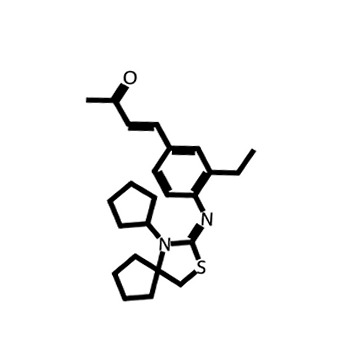 CCc1cc(/C=C/C(C)=O)ccc1/N=C1/SCC2(CCCC2)N1C1CCCC1